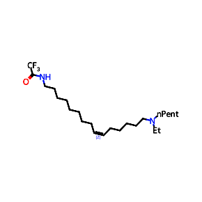 CCCCCN(CC)CCCCC/C=C\CCCCCCCCNC(=O)C(F)(F)F